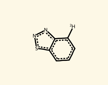 [2H]c1cccc2snnc12